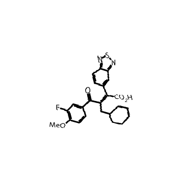 COc1ccc(C(=O)/C(CC2CCCCC2)=C(/C(=O)O)c2ccc3nsnc3c2)cc1F